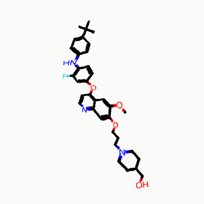 COc1cc2c(Oc3ccc(Nc4ccc(C(C)(C)C)cc4)c(F)c3)ccnc2cc1OCCCN1CCC(CO)CC1